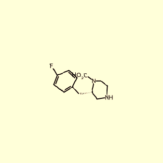 O=C(O)N1CCNC[C@@H]1Cc1ccc(F)cc1